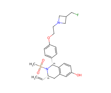 C=C[C@H]1Cc2cc(O)ccc2[C@@H](c2ccc(OCCN3CC(CF)C3)cc2)N1S(C)(=O)=O